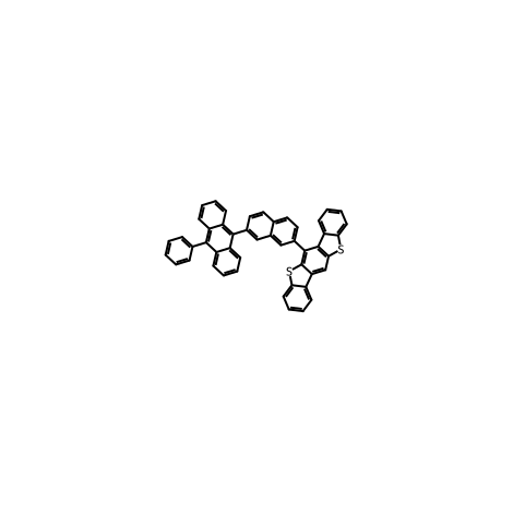 c1ccc(-c2c3ccccc3c(-c3ccc4ccc(-c5c6sc7ccccc7c6cc6sc7ccccc7c56)cc4c3)c3ccccc23)cc1